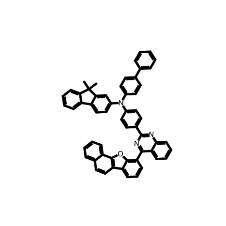 CC1(C)c2ccccc2-c2ccc(N(c3ccc(-c4ccccc4)cc3)c3ccc(-c4nc(-c5cccc6c5oc5c7ccccc7ccc65)c5ccccc5n4)cc3)cc21